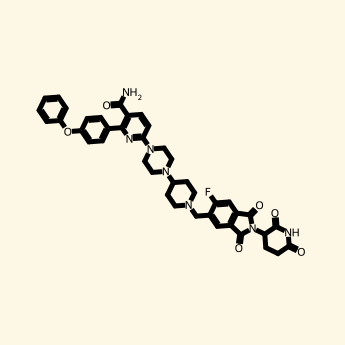 NC(=O)c1ccc(N2CCN(C3CCN(Cc4cc5c(cc4F)C(=O)N(C4CCC(=O)NC4=O)C5=O)CC3)CC2)nc1-c1ccc(Oc2ccccc2)cc1